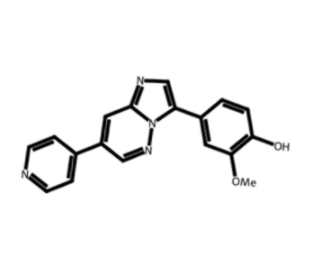 COc1cc(-c2cnc3cc(-c4ccncc4)cnn23)ccc1O